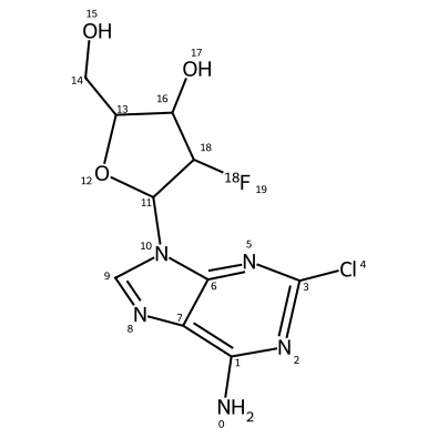 Nc1nc(Cl)nc2c1ncn2C1OC(CO)C(O)C1[18F]